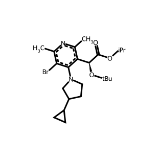 Cc1nc(C)c([C@H](OC(C)(C)C)C(=O)OC(C)C)c(N2CCC(C3CC3)C2)c1Br